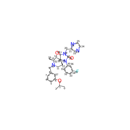 CC(C)Oc1cccc(CN2CC[C@@]3(C[C@@H]2C)C(=O)N(Cc2cnccn2)C(=O)N3c2cccc(F)c2)c1